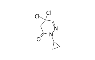 O=C1CC(Cl)(Cl)C=NN1C1CC1